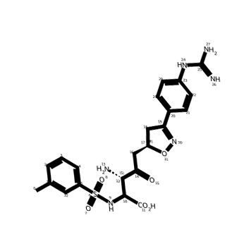 Cc1cccc(S(=O)(=O)NC(C(=O)O)[C@H](N)C(=O)C[C@H]2CC(c3ccc(NC(=N)N)cc3)=NO2)c1